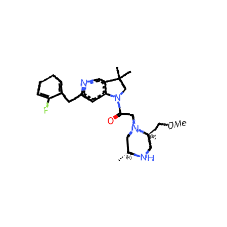 COC[C@H]1CN[C@H](C)CN1CC(=O)N1CC(C)(C)c2cnc(CC3=CCCC=C3F)cc21